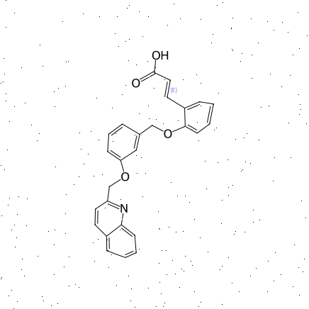 O=C(O)/C=C/c1ccccc1OCc1cccc(OCc2ccc3ccccc3n2)c1